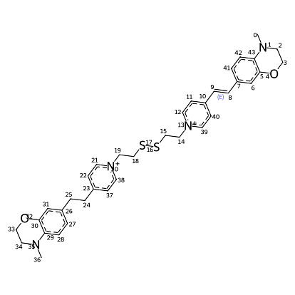 CN1CCOc2cc(/C=C/c3cc[n+](CCSSCC[n+]4ccc(CCc5ccc6c(c5)OCCN6C)cc4)cc3)ccc21